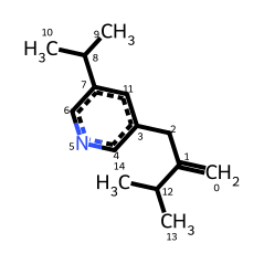 C=C(Cc1cncc(C(C)C)c1)C(C)C